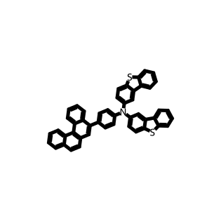 c1ccc2c(c1)ccc1cc(-c3ccc(N(c4ccc5sc6ccccc6c5c4)c4ccc5sc6ccccc6c5c4)cc3)c3ccccc3c12